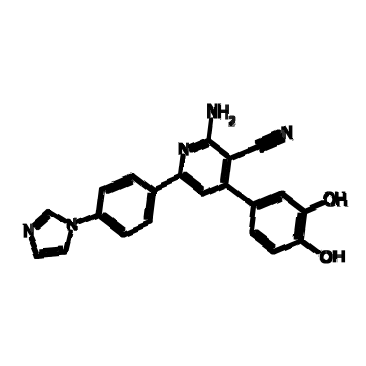 N#Cc1c(-c2ccc(O)c(O)c2)cc(-c2ccc(-n3ccnc3)cc2)nc1N